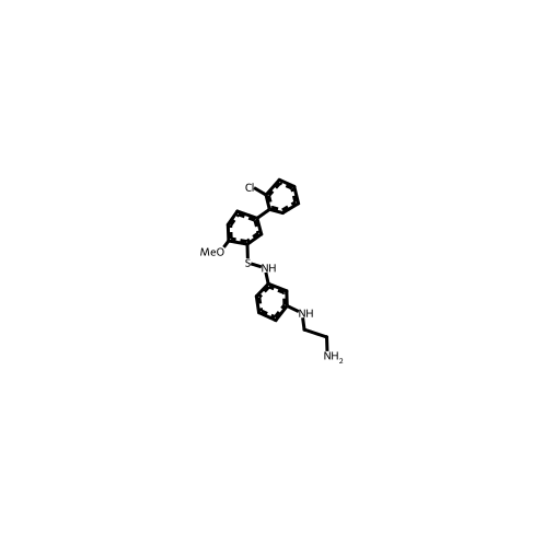 COc1ccc(-c2ccccc2Cl)cc1SNc1cccc(NCCN)c1